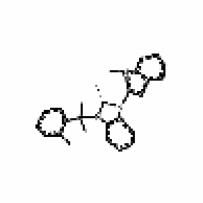 Cc1ccccc1C(C)(C)N1c2ccccc2N(c2cc3ccccc3n2C)[C@H]1C